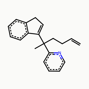 C=CCCC(C)(C1=CCc2ccccc21)c1ccccn1